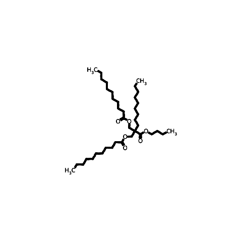 CCCCCCCCCCC(=O)OCC(CCCCCCCCC)(COC(=O)CCCCCCCCCC)C(=O)OCCCC